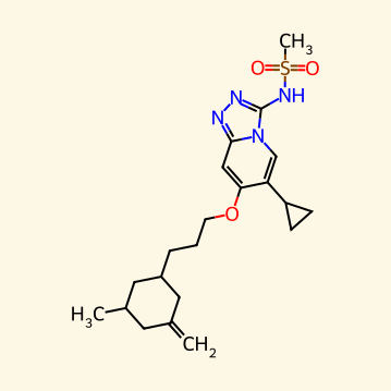 C=C1CC(C)CC(CCCOc2cc3nnc(NS(C)(=O)=O)n3cc2C2CC2)C1